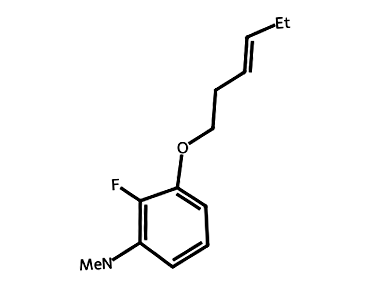 CCC=CCCOc1cccc(NC)c1F